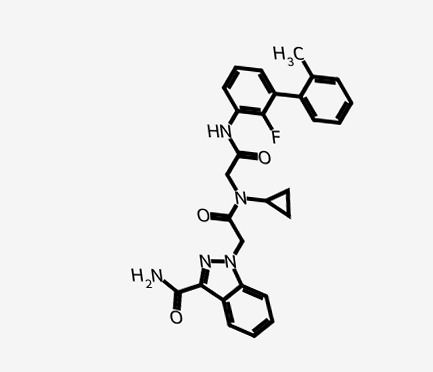 Cc1ccccc1-c1cccc(NC(=O)CN(C(=O)Cn2nc(C(N)=O)c3ccccc32)C2CC2)c1F